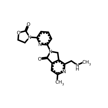 CNCc1nc(C)cc2c1CN(c1cccc(N3CCOC3=O)n1)C2=O